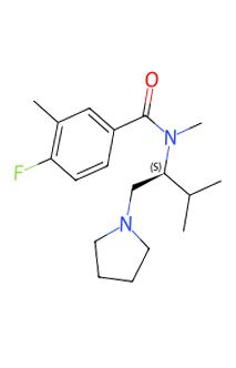 Cc1cc(C(=O)N(C)[C@H](CN2CCCC2)C(C)C)ccc1F